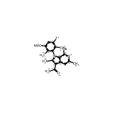 COc1cc(F)c(C)c(-n2c(N)c(C(N)=O)c3cc(C)nc(C#N)c32)c1C